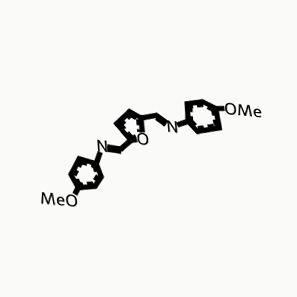 COc1ccc(N=Cc2ccc(C=Nc3ccc(OC)cc3)o2)cc1